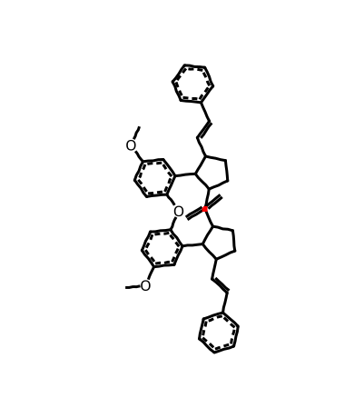 C=CC1CCC(C=Cc2ccccc2)C1c1cc(OC)ccc1Oc1ccc(OC)cc1C1C(C=C)CCC1C=Cc1ccccc1